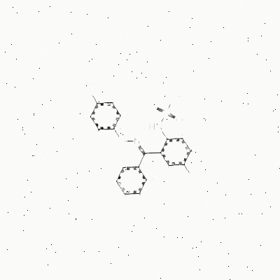 O=S(=O)(Nc1ccc(Cl)cc1C(=NOc1ccc(F)cc1)c1ccccc1)C(F)(F)F